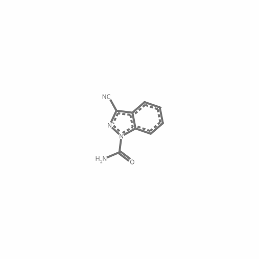 N#Cc1nn(C(N)=O)c2cc[c]cc12